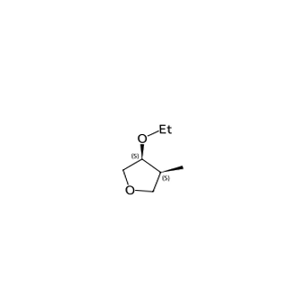 CCO[C@@H]1COC[C@@H]1C